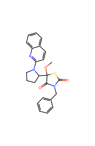 COC1(C2CCCN2c2ccc3ccccc3n2)SC(=O)N(Cc2ccccc2)C1=O